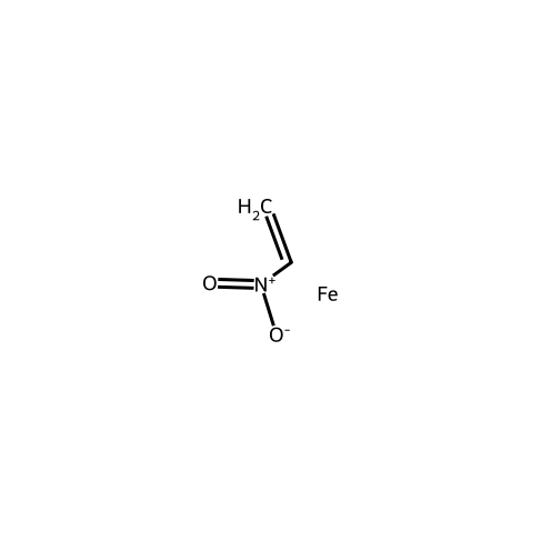 C=C[N+](=O)[O-].[Fe]